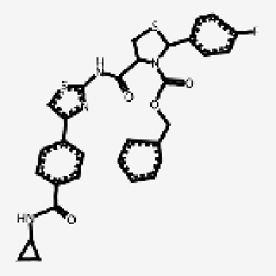 O=C(NC1CC1)c1ccc(-c2csc(NC(=O)C3CSC(c4ccc(F)cc4)N3C(=O)OCc3ccccc3)n2)cc1